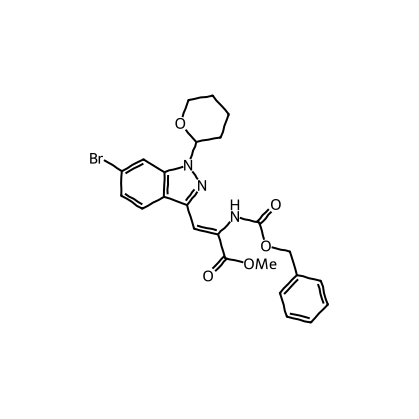 COC(=O)C(=Cc1nn(C2CCCCO2)c2cc(Br)ccc12)NC(=O)OCc1ccccc1